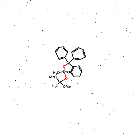 CO[Si](C)(OC)O[Si](C)(C)O[Si](c1ccccc1)(c1ccccc1)c1ccccc1